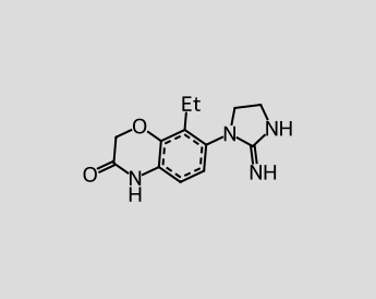 CCc1c(N2CCNC2=N)ccc2c1OCC(=O)N2